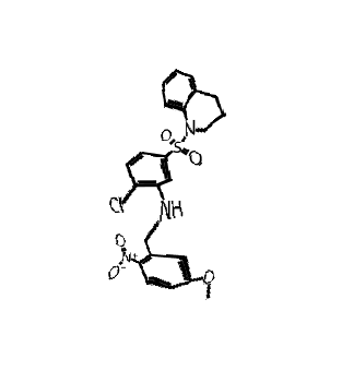 COc1ccc([N+](=O)[O-])c(CNc2cc(S(=O)(=O)N3CCCc4ccccc43)ccc2Cl)c1